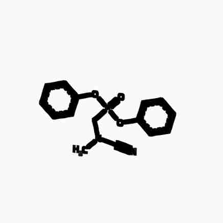 CN(C#N)CP(=O)(Oc1ccccc1)Oc1ccccc1